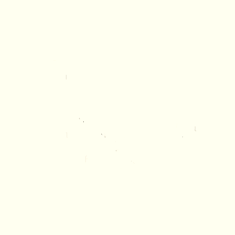 O=C(N1CCN(c2cc(C(F)(F)F)ccc2C(F)(F)F)CC1)[C@]1(C(F)(F)F)C[C@H]1c1ccc(C(F)(F)F)cc1